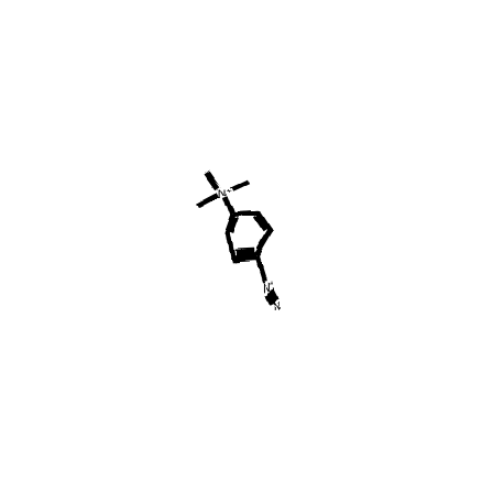 C[N+](C)(C)c1ccc([N+]#N)cc1